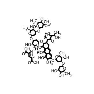 CO[C@H](C(=O)[C@@H](O)[C@@H](C)O)C1Cc2cc3cc(O[C@H]4C[C@@H](O[C@H]5C[C@@H](O)[C@H](O)[C@@H](C)O5)[C@@H](O)[C@@H](C)O4)c(C)c(O)c3c(O)c2C(=O)[C@H]1O[C@H]1C[C@@H](O[C@H]2C[C@@H](O[C@H]3C[C@](C)(O)[C@H](O)[C@@H](C)O3)[C@H](O)[C@@H](C)O2)[C@H](O)[C@@H](C)O1.NC(CCC(=O)O)C(=O)O